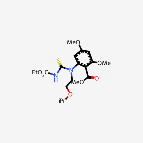 CCOC(=O)NC(=S)N(CCOC(C)C)c1cc(OC)cc(OC)c1C(=O)OC